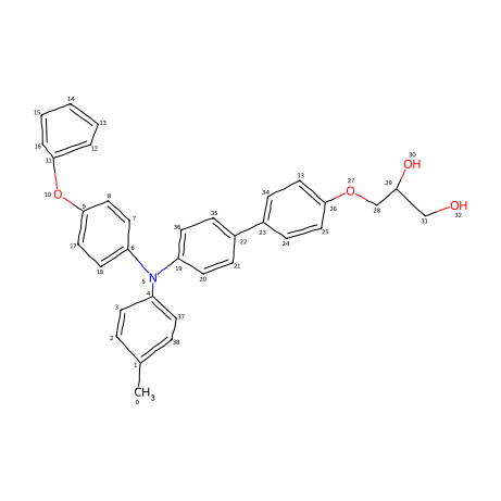 Cc1ccc(N(c2ccc(Oc3ccccc3)cc2)c2ccc(-c3ccc(OCC(O)CO)cc3)cc2)cc1